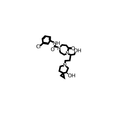 O=C(Nc1cccc(Cl)c1)N1CCC(=O)N(C(CO)CCN2CCC3(CC3)[C@H](O)C2)CC1